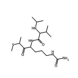 CSC(C)C(=O)C(CCCNC(N)=O)NC(=O)C(NC(C)C)C(C)C